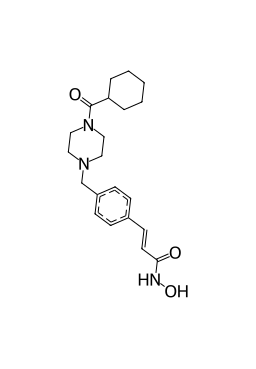 O=C(/C=C/c1ccc(CN2CCN(C(=O)C3CCCCC3)CC2)cc1)NO